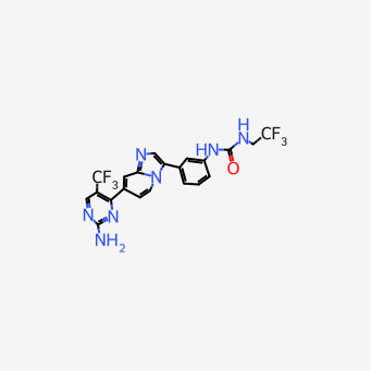 Nc1ncc(C(F)(F)F)c(-c2ccn3c(-c4cccc(NC(=O)NCC(F)(F)F)c4)cnc3c2)n1